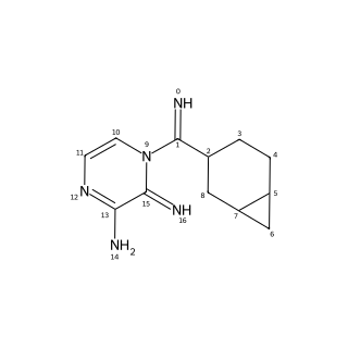 N=C(C1CCC2CC2C1)n1ccnc(N)c1=N